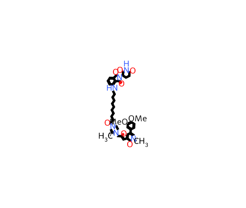 COc1ccc(-c2cn(C)c(=O)c3cc(CN4CCN(C(=O)CCCCCCCCCCNc5cccc6c5C(=O)N(C5CCC(=O)NC5=O)C6=O)C[C@H]4C)oc23)cc1OC